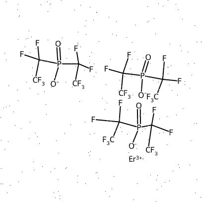 O=P([O-])(C(F)(F)C(F)(F)F)C(F)(F)C(F)(F)F.O=P([O-])(C(F)(F)C(F)(F)F)C(F)(F)C(F)(F)F.O=P([O-])(C(F)(F)C(F)(F)F)C(F)(F)C(F)(F)F.[Er+3]